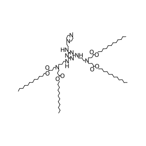 CCCCCCCCCCCCOC(=O)CCN(CCCNc1nc(NCCCN(CCC(=O)OCCCCCCCCCCCC)CCC(=O)OCCCCCCCCCCCC)nc(NCCN2CCN(C)CC2)n1)CCC(=O)OCCCCCCCCCCCC